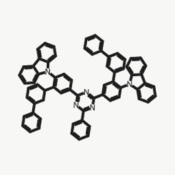 C1=CC(c2cc(-c3nc(-c4ccccc4)nc(-c4ccc(-n5c6ccccc6c6ccccc65)c(-c5cccc(-c6ccccc6)c5)c4)n3)ccc2-n2c3ccccc3c3ccccc32)CC(c2ccccc2)=C1